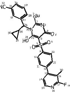 CCCCc1nc(=O)c(S(=O)(=O)c2ccc(-c3ccnc(F)c3C)cc2)c(O)n1C(c1cccc(C#N)c1)C1CC1